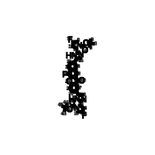 CC(C)(C)OC(=O)N1C[C@@H](F)C[C@H]1c1ncc(-c2ccc3c(F)c4oc5ccc(-c6cnc([C@@H]7C[C@H](F)CN7C(=O)OC(C)(C)C)[nH]6)cc5c(=O)c4cc3c2)[nH]1